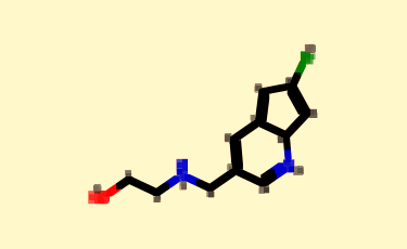 OCCNCC1=CC2=CC(Br)=CC2N=C1